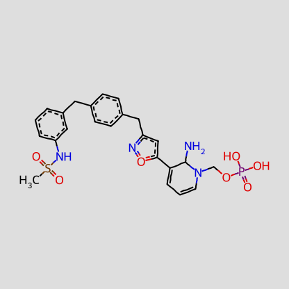 CS(=O)(=O)Nc1cccc(Cc2ccc(Cc3cc(C4=CC=CN(COP(=O)(O)O)C4N)on3)cc2)c1